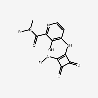 CCOc1c(Nc2ccnc(C(=O)N(C)C(C)C)c2O)c(=O)c1=O